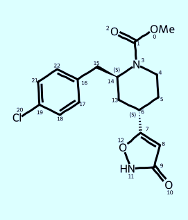 COC(=O)N1CC[C@H](c2cc(=O)[nH]o2)C[C@H]1Cc1ccc(Cl)cc1